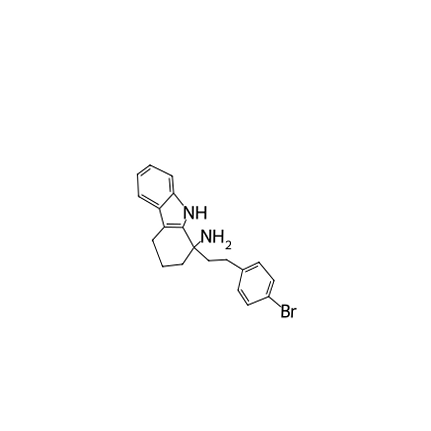 NC1(CCc2ccc(Br)cc2)CCCc2c1[nH]c1ccccc21